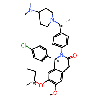 CC[C@@H](C)Oc1cc2c(cc1OC)CC(=O)N(c1ccc([C@@H](C)N3CCC(N(C)C)CC3)cc1)[C@H]2c1ccc(Cl)cc1